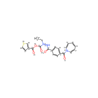 CCN(NC(=O)c1ccc(C(=O)N2C=CC=CC=C2)cc1)C(=O)OC(=O)c1ccsc1